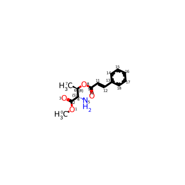 COC(=O)[C@@H](N)[C@@H](C)OC(=O)C=Cc1ccccc1